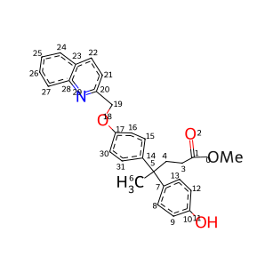 COC(=O)CCC(C)(c1ccc(O)cc1)c1ccc(OCc2ccc3ccccc3n2)cc1